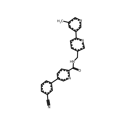 Cc1cncc(-c2ccc(CNC(=O)c3ccc(-c4cccc(C#N)c4)cn3)cn2)c1